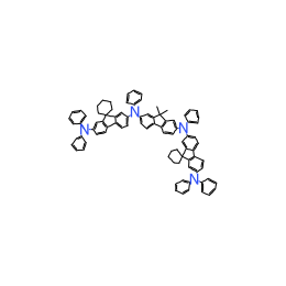 CC1(C)c2cc(N(c3ccccc3)c3ccc4c(c3)C3(CCCCC3)c3cc(N(c5ccccc5)c5ccccc5)ccc3-4)ccc2-c2ccc(N(c3ccccc3)c3ccc4c(c3)C3(CCCCC3)c3cc(N(c5ccccc5)c5ccccc5)ccc3-4)cc21